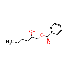 CCCCC(O)COC(=O)c1ccccc1